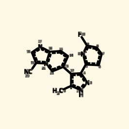 Cc1[nH]nc(-c2cccc(F)n2)c1-c1ccc2ncc(C#N)n2c1